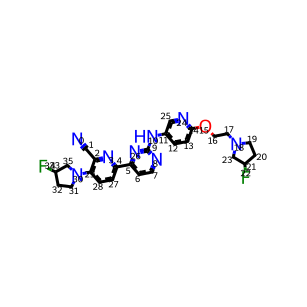 N#Cc1nc(-c2ccnc(Nc3ccc(OCCN4CCC(F)C4)nc3)n2)ccc1N1CCC(F)C1